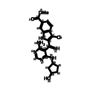 COC(=O)c1ccc2c(Cl)c(C(=N)c3c(N)ncnc3NC3CCC(O)C3)[nH]c2c1